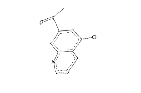 CC(=O)c1[c]c2ncccc2c(Cl)c1